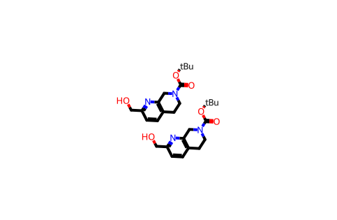 CC(C)(C)OC(=O)N1CCc2ccc(CO)nc2C1.CC(C)(C)OC(=O)N1CCc2ccc(CO)nc2C1